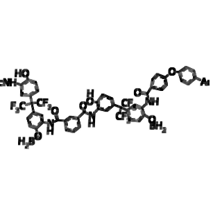 BOc1ccc(C(c2ccc(O)c(NC(C)=O)c2)(C(F)(F)F)C(F)(F)F)cc1NC(=O)c1cccc(C(=O)Nc2cc(C(c3ccc(OB)c(NC(=O)c4ccc(Oc5ccc(C(C)=O)cc5)cc4)c3)(C(F)(F)F)C(F)(F)F)ccc2O)c1